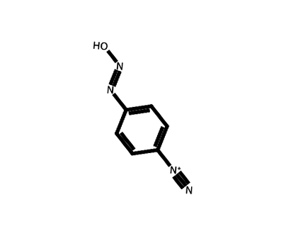 N#[N+]c1ccc(N=NO)cc1